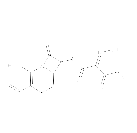 C=CC1=C(C(=O)O)N2C(=O)C(NC(=O)C(=NO)C(=O)CCl)C2SC1